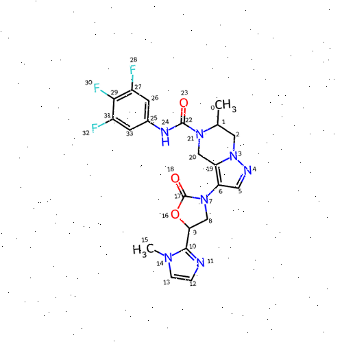 CC1Cn2ncc(N3CC(c4nccn4C)OC3=O)c2CN1C(=O)Nc1cc(F)c(F)c(F)c1